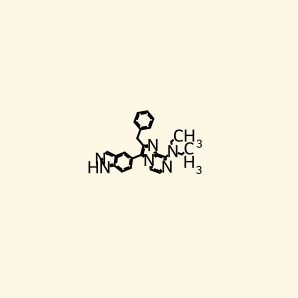 CCN(CC)c1nccn2c(-c3ccc4[nH]ncc4c3)c(Cc3ccccc3)nc12